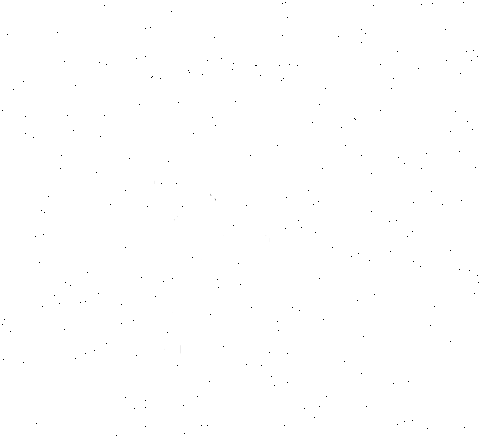 COc1ccc(N2C(=O)C3CC=C(C)CC3C2=O)cc1